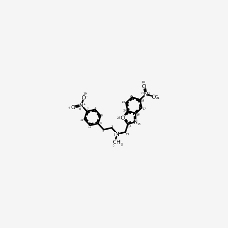 CN(CCc1ccc([N+](=O)[O-])cc1)Cc1nc2cc([N+](=O)[O-])ccc2o1